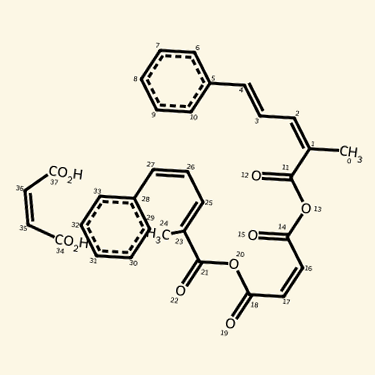 CC(=CC=Cc1ccccc1)C(=O)OC(=O)/C=C\C(=O)OC(=O)C(C)=CC=Cc1ccccc1.O=C(O)/C=C\C(=O)O